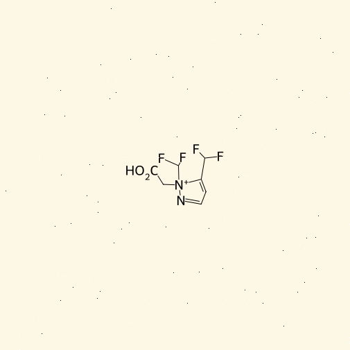 O=C(O)C[N+]1(C(F)F)N=CC=C1C(F)F